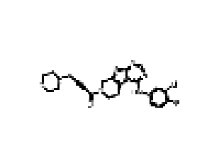 O=C(C#CCN1CCOCC1)N1CCc2c(sc3ncnc(Nc4ccc(F)c(Cl)c4)c23)C1